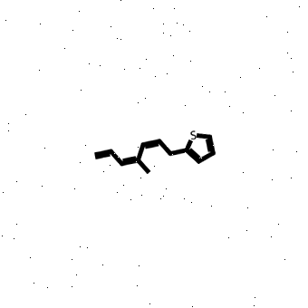 C=C/C=C(C)\C=C/Cc1cccs1